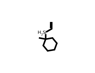 C=C[SiH2]C1(C)CCCCC1